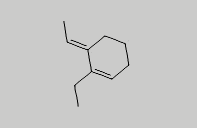 CC=C1CCCC=C1CC